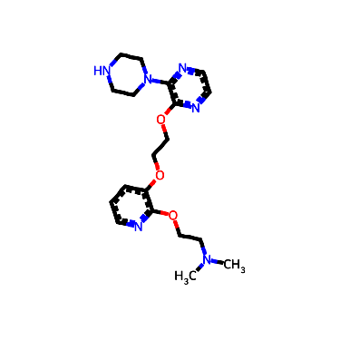 CN(C)CCOc1ncccc1OCCOc1nccnc1N1CCNCC1